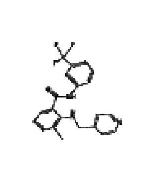 Cc1cccc(C(=O)Nc2cccc(C(F)(F)F)c2)c1NCc1ccncc1